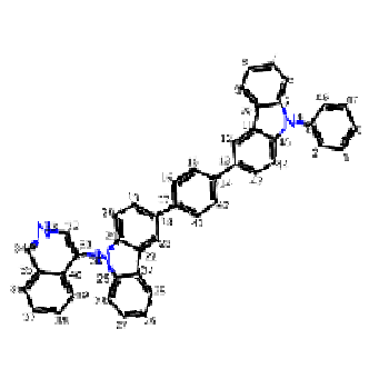 c1ccc(-n2c3ccccc3c3cc(-c4ccc(-c5ccc6c(c5)c5ccccc5n6-c5cncc6ccccc56)cc4)ccc32)cc1